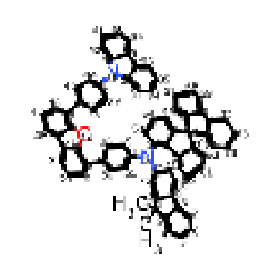 CC1(C)c2ccccc2-c2ccc(N(c3ccc(-c4cccc5c4oc4c(-c6ccc(-n7c8ccccc8c8ccccc87)cc6)cccc45)cc3)c3cccc4c3-c3ccccc3C43c4ccccc4-c4ccccc43)cc21